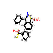 N#CC(c1ccccc1)c1ccccc1C(O)=S.OC(=S)c1ccccc1